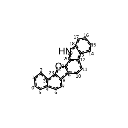 c1ccc2c(c1)ccc1c3ccc4c5ccccc5[nH]c4c3oc21